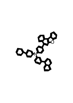 c1ccc(-c2ccc(N(c3ccc(-c4cc5oc6ccccc6c5c5ccccc45)cc3)c3cccc(-c4cccc5ccccc45)c3)cc2)cc1